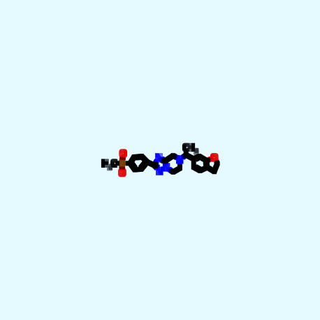 CC(c1ccc2c(c1)OCC2)N1CCn2nc(-c3ccc(S(C)(=O)=O)cc3)nc2C1